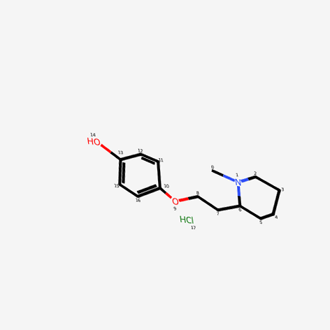 CN1CCCCC1CCOc1ccc(O)cc1.Cl